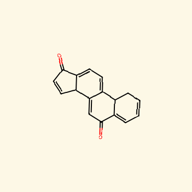 O=C1C=CC2C1=CC=C1C2=CC(=O)C2=CC=CCC21